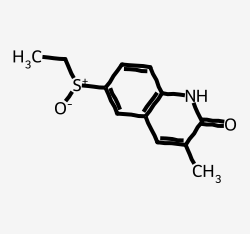 CC[S+]([O-])c1ccc2[nH]c(=O)c(C)cc2c1